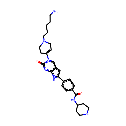 NCCCCCN1CC=C(n2cc3cc(-c4ccc(C(=O)NC5CCNCC5)cc4)[nH]c3nc2=O)CC1